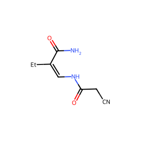 CCC(=CNC(=O)CC#N)C(N)=O